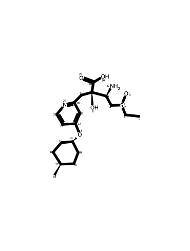 CC[S+]([O-])C[C@H](N)[C@](O)(Cc1cc(O[C@H]2CC[C@H](C)CC2)ccn1)C(=O)O